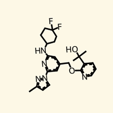 Cc1ccn(-c2cc(COc3ncccc3C(C)(C)O)cc(NC3CCC(F)(F)CC3)n2)n1